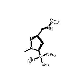 CCC[CH2][Sn]([CH2]CCC)([CH2]CCC)[c]1cc(CNC(=O)O)nn1C